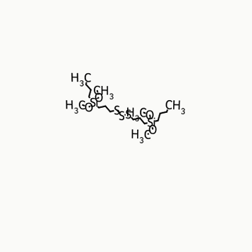 CCCC[Si](CCCSSSCCC[Si](CCCC)(OC)OC)(OC)OC